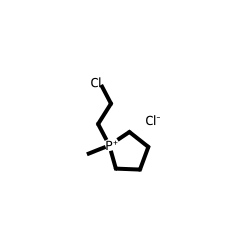 C[P+]1(CCCl)CCCC1.[Cl-]